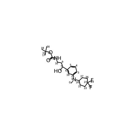 CN(c1cccc(C(O)CCNC(=O)OC(C)(C)C)c1)C1CCC(F)(F)CC1